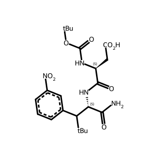 CC(C)(C)OC(=O)N[C@@H](CC(=O)O)C(=O)N[C@H](C(N)=O)C(c1cccc([N+](=O)[O-])c1)C(C)(C)C